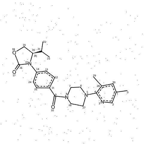 Cc1cnc(N2CCN(C(=O)c3ccc(N4C(=O)OC[C@H]4C(C)C)cc3)CC2)c(C)c1